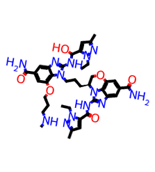 CCn1nc(C)cc1C(=O)Nc1nc2cc(C(N)=O)cc3c2n1[C@@H](CCCn1c(NC(O)c2cc(C)nn2CC)nc2cc(C(N)=O)cc(OCCCNC)c21)CO3